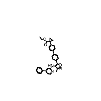 CCOC(=O)C1(c2ccc(-c3ccc(-c4onc(C)c4Nc4cc(-c5ccccc5)ccn4)cc3)cc2)CC1